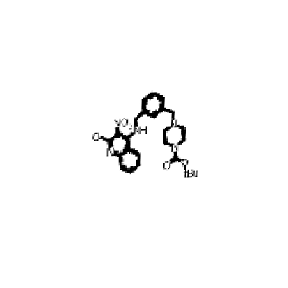 CC(C)(C)OC(=O)N1CCN(Cc2cccc(CNc3c([N+](=O)[O-])c(Cl)nc4ccccc34)c2)CC1